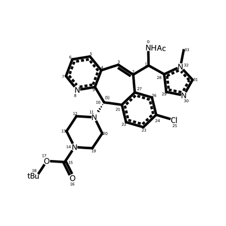 CC(=O)NC(C1=Cc2cccnc2[C@@H](N2CCN(C(=O)OC(C)(C)C)CC2)c2ccc(Cl)cc21)c1cncn1C